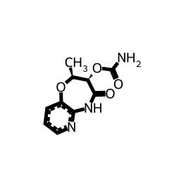 C[C@@H]1Oc2cccnc2NC(=O)[C@H]1OC(N)=O